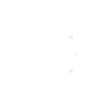 CCc1cnccc1-c1cc(C#N)cc(OCc2ccccc2)c1